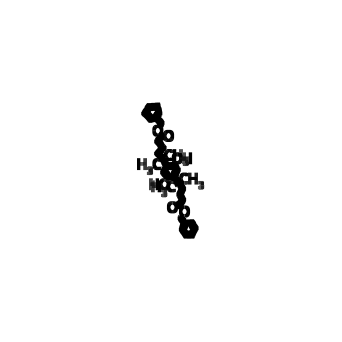 CC(C)(CCCC(=O)OCc1ccccc1)c1cc(O)c(C(C)(C)CCCC(=O)OCc2ccccc2)cc1O